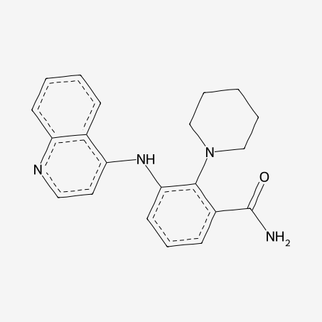 NC(=O)c1cccc(Nc2ccnc3ccccc23)c1N1CCCCC1